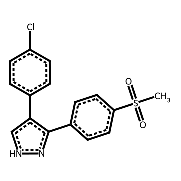 CS(=O)(=O)c1ccc(-c2n[nH]cc2-c2ccc(Cl)cc2)cc1